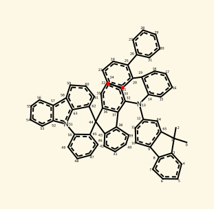 CC1(C)c2ccccc2-c2ccc(N(c3ccccc3-c3ccccc3-c3ccccc3)c3cccc4c3-c3ccccc3C43c4ccccc4-n4c5ccccc5c5cccc3c54)cc21